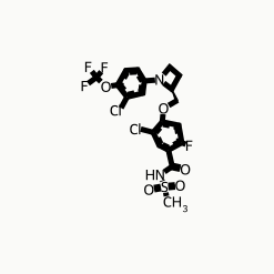 CS(=O)(=O)NC(=O)c1cc(Cl)c(OC[C@@H]2CCN2c2ccc(OC(F)(F)F)c(Cl)c2)cc1F